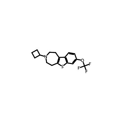 FC(F)(F)Oc1ccc2c3c(sc2c1)CCN(C1CCC1)CC3